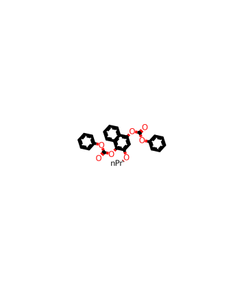 CCCOc1cc(OC(=O)Oc2ccccc2)c2ccccc2c1OC(=O)Oc1ccccc1